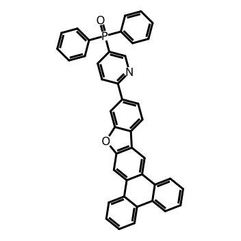 O=P(c1ccccc1)(c1ccccc1)c1ccc(-c2ccc3c(c2)oc2cc4c5ccccc5c5ccccc5c4cc23)nc1